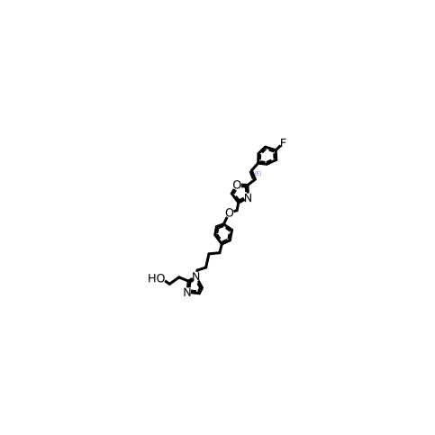 OCCc1nccn1CCCCc1ccc(OCc2coc(/C=C/c3ccc(F)cc3)n2)cc1